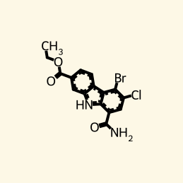 CCOC(=O)c1ccc2c(c1)[nH]c1c(C(N)=O)cc(Cl)c(Br)c12